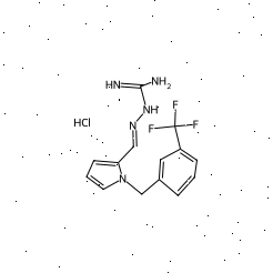 Cl.N=C(N)NN=Cc1cccn1Cc1cccc(C(F)(F)F)c1